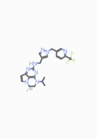 CC(C)N1C[C@H](C)n2ccc3nc(NCc4cnn(Cc5ccc(C(F)(F)F)nc5)c4)nc1c32